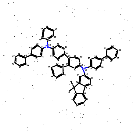 CC1(C)c2ccccc2-c2ccc(N(c3ccc(-c4ccccc4)cc3)c3ccc(-c4ccc(N(c5ccccc5)c5ccc(-c6ccccc6)cc5)cc4)c(-c4ccccc4)c3)cc21